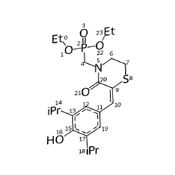 CCOP(=O)(CN1CCSC(=Cc2cc(C(C)C)c(O)c(C(C)C)c2)C1=O)OCC